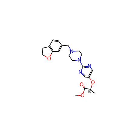 COC(=O)[C@H](C)Oc1cnc(N2CCN(Cc3ccc4c(c3)OCC4)CC2)nc1